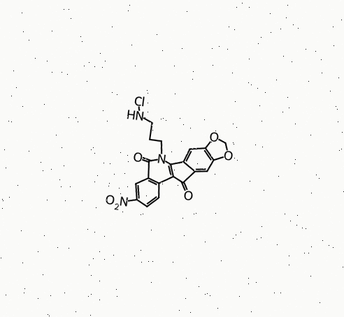 O=C1c2cc3c(cc2-c2c1c1ccc([N+](=O)[O-])cc1c(=O)n2CCCNCl)OCO3